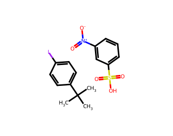 CC(C)(C)c1ccc(I)cc1.O=[N+]([O-])c1cccc(S(=O)(=O)O)c1